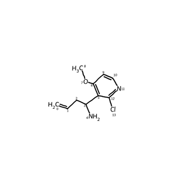 C=CCC(N)c1c(OC)ccnc1Cl